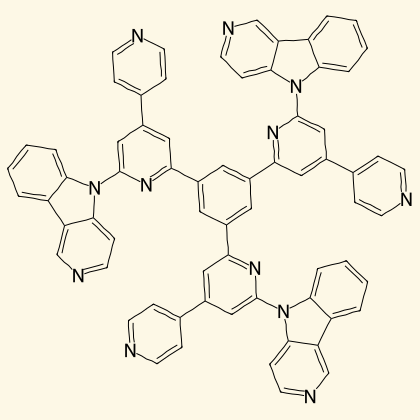 c1ccc2c(c1)c1cnccc1n2-c1cc(-c2ccncc2)cc(-c2cc(-c3cc(-c4ccncc4)cc(-n4c5ccccc5c5cnccc54)n3)cc(-c3cc(-c4ccncc4)cc(-n4c5ccccc5c5cnccc54)n3)c2)n1